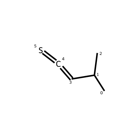 CC(C)C=C=S